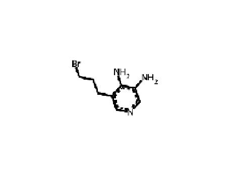 Nc1cncc(CCCBr)c1N